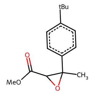 COC(=O)C1OC1(C)c1ccc(C(C)(C)C)cc1